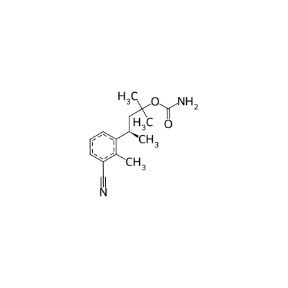 Cc1c(C#N)cccc1[C@H](C)CC(C)(C)OC(N)=O